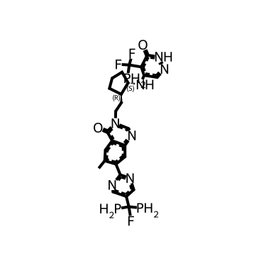 Cc1cc2c(=O)n(CC[C@H]3CCC[C@@H]3Nc3cn[nH]c(=O)c3C(F)(F)P)cnc2cc1-c1ncc(C(F)(P)P)cn1